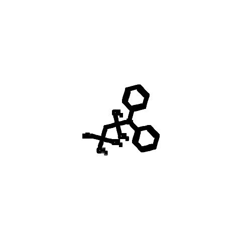 CCCC[Si](C)(C)CC(C)(C)[Si](c1ccccc1)c1ccccc1